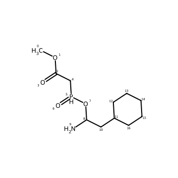 COC(=O)C[PH](=O)OC(N)CC1CCCCC1